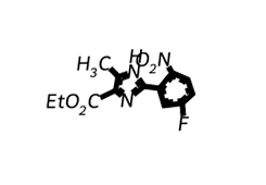 CCOC(=O)c1nc(-c2cc(F)ccc2[N+](=O)[O-])[nH]c1C